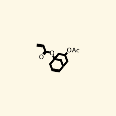 C=CC(=O)OC12CC=CC(CC(OC(C)=O)C1)C2